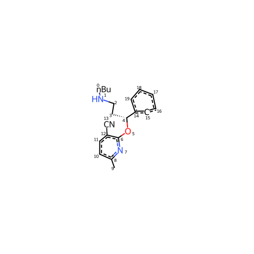 CCCCNCC[C@@H](Oc1nc(C)ccc1C#N)c1ccccc1